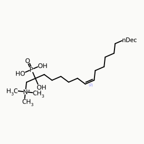 CCCCCCCCCCCCCCC/C=C\CCCCCC(O)(C[N+](C)(C)C)P(=O)(O)O